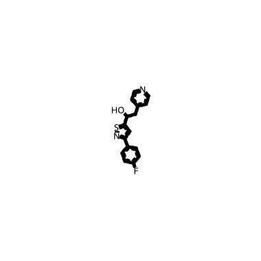 OC(Cc1ccncc1)c1cc(-c2ccc(F)cc2)ns1